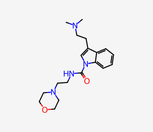 CN(C)CCc1cn(C(=O)NCCN2CCOCC2)c2ccccc12